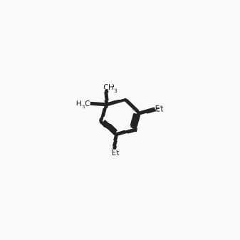 CCC1=CC(C)(C)CC(CC)=C1